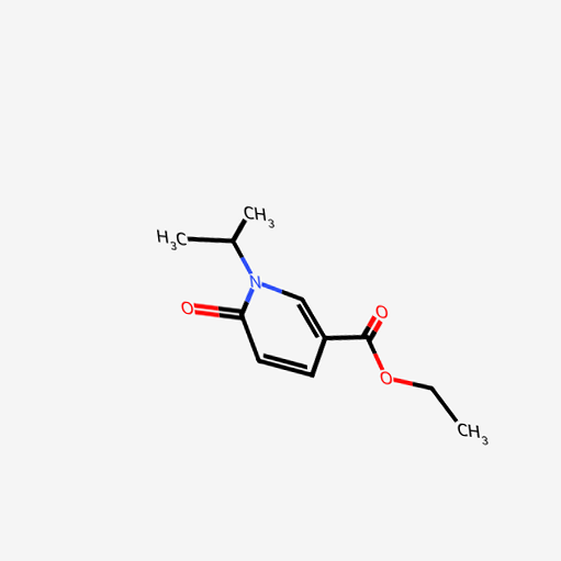 CCOC(=O)c1ccc(=O)n(C(C)C)c1